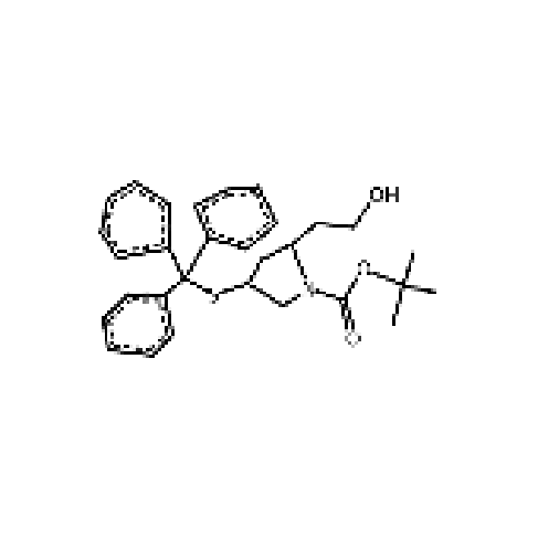 CC(C)(C)OC(=O)N1CC(SC(c2ccccc2)(c2ccccc2)c2ccccc2)CC1CCO